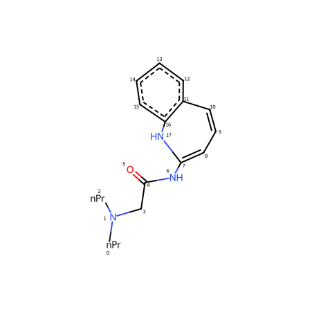 CCCN(CCC)CC(=O)NC1=CC=Cc2ccccc2N1